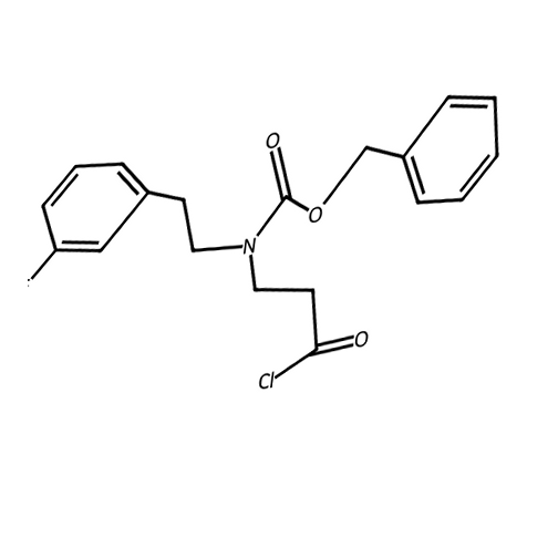 O=C(Cl)CCN(CCc1cccc(F)c1)C(=O)OCc1ccccc1